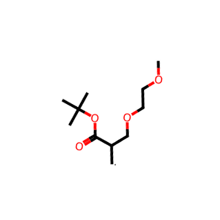 [CH2]C(COCCOC)C(=O)OC(C)(C)C